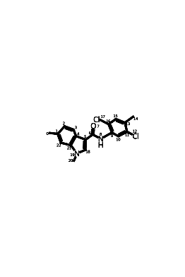 Cc1ccc2c(C(=O)Nc3cc(Cl)c(C)cc3Cl)cn(C)c2c1